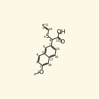 COc1ccc2cc(C(SC=S)C(=O)O)ccc2c1